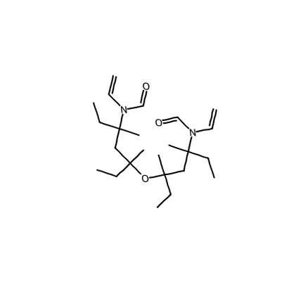 C=CN(C=O)C(C)(CC)CC(C)(CC)OC(C)(CC)CC(C)(CC)N(C=C)C=O